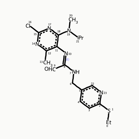 CCSc1ccc(CN/C(C=O)=N/c2c(C)nc(Cl)nc2N(C)C(C)C)cn1